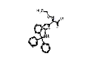 CCO/N=C(/C(=O)O)c1csc(NC(c2ccccc2)(c2ccccc2)c2ccccc2)n1